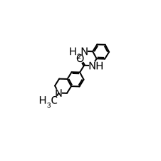 CN1CCc2cc(C(=O)Nc3ccccc3N)ccc2C1